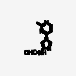 Cc1nccc(-n2cnc(NC=O)c2)n1